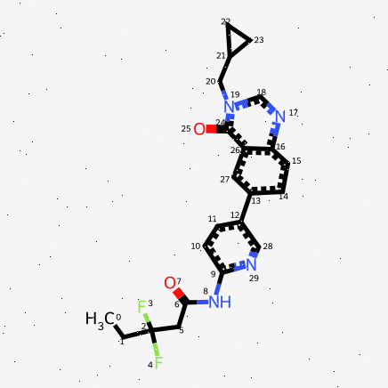 CCC(F)(F)CC(=O)Nc1ccc(-c2ccc3ncn(CC4CC4)c(=O)c3c2)cn1